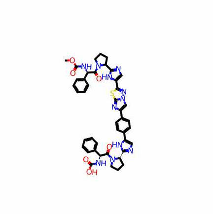 COC(=O)N[C@@H](C(=O)N1CCCC1c1ncc(-c2nn3cc(-c4ccc(-c5cnc([C@@H]6CCCN6C(=O)[C@H](NC(=O)O)c6ccccc6)[nH]5)cc4)nc3s2)[nH]1)c1ccccc1